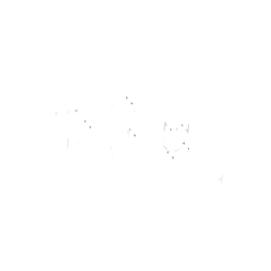 CN1C(=O)CCc2ncn(Cc3nnn(CCO)n3)c(=O)c21